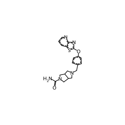 NC(=O)N1CC2CN(Cc3ccc(Oc4nc5ncccc5s4)cc3)CC2C1